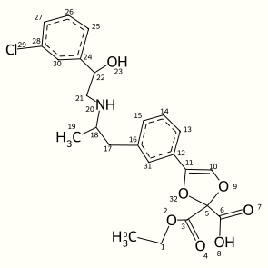 CCOC(=O)C1(C(=O)O)OC=C(c2cccc(CC(C)NCC(O)c3cccc(Cl)c3)c2)O1